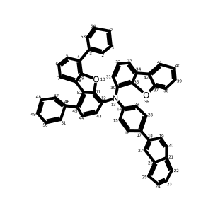 c1ccc(-c2cccc3c2oc2c(N(c4ccc(-c5ccc6ccccc6c5)cc4)c4cccc5c4oc4ccccc45)ccc(-c4ccccc4)c23)cc1